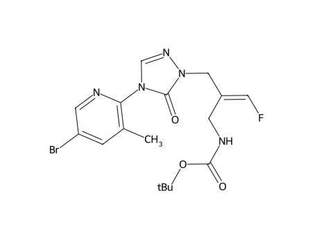 Cc1cc(Br)cnc1-n1cnn(CC(=CF)CNC(=O)OC(C)(C)C)c1=O